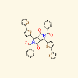 O=C1C2=C(c3ccc(-c4cccs4)s3)N(C(=O)c3ccccc3)C(=O)C2=C(c2ccc(-c3cccs3)s2)N1C(=O)c1ccccc1